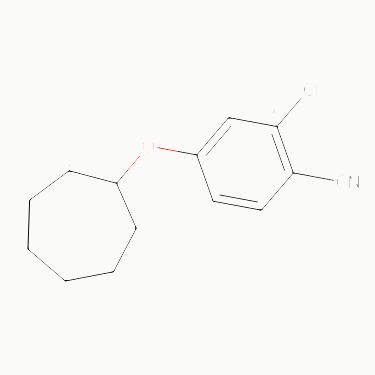 N#Cc1ccc(OC2CCCCCC2)cc1C(F)(F)F